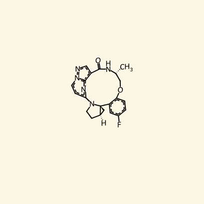 C[C@@H]1COc2ccc(F)cc2[C@]23C[C@H]2CCN3c2ccn3ncc(c3n2)C(=O)N1